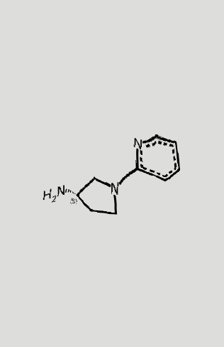 N[C@H]1CCN(c2ccccn2)C1